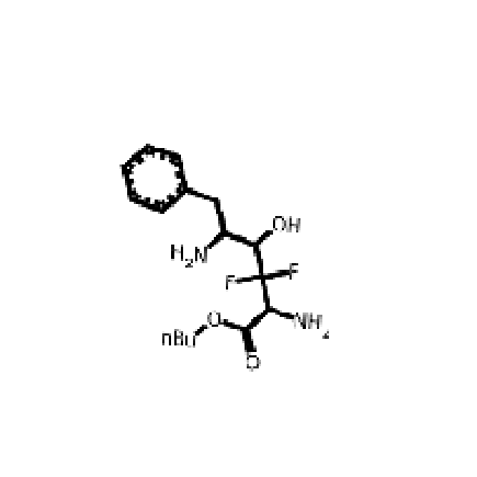 CCCCOC(=O)C(N)C(F)(F)C(O)C(N)Cc1ccccc1